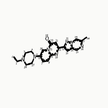 CCN1CCN(c2ccc3nc(-c4cc5cnc(C)cn5n4)cc(=O)n3c2)CC1